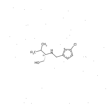 CC(C)[C@@H](CO)NCc1ccc(Cl)s1